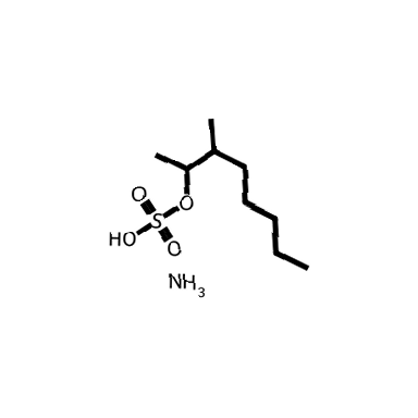 CCCCCC(C)C(C)OS(=O)(=O)O.N